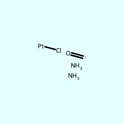 N.N.[C]=O.[Cl][Pt]